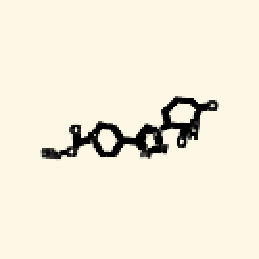 CC(C)(C)OC(=O)N1CCC(c2cn(C3CCCC(=O)NC3=O)nn2)CC1